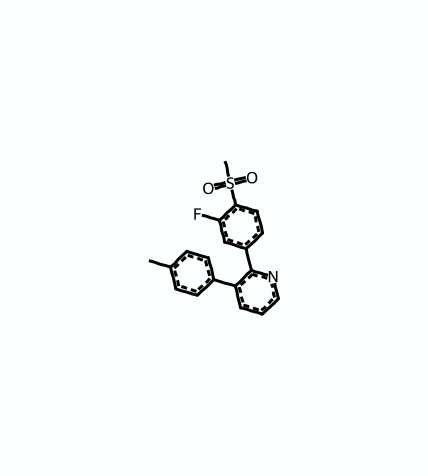 Cc1ccc(-c2cccnc2-c2ccc(S(C)(=O)=O)c(F)c2)cc1